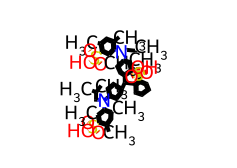 Cc1cc(C)c(S(=O)(=O)O)c(C)c1N(CC(C)C)c1ccc(C(c2ccc(N(CC(C)C)c3c(C)cc(C)c(S(=O)(=O)O)c3C)cc2)c2ccccc2S(=O)(=O)O)cc1